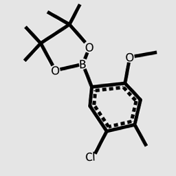 COc1cc(C)c(Cl)cc1B1OC(C)(C)C(C)(C)O1